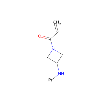 C=CC(=O)N1CC(NC(C)C)C1